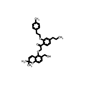 CCCc1ccc(C(=O)COc2c(CO)ccc3c2C=CC(C)(C)O3)c(OCCc2ccc(C)cc2)c1